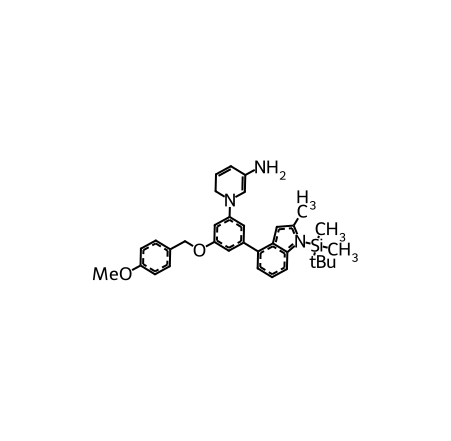 COc1ccc(COc2cc(-c3cccc4c3cc(C)n4[Si](C)(C)C(C)(C)C)cc(N3C=C(N)C=CC3)c2)cc1